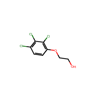 OCCOc1ccc(Cl)c(Cl)c1Cl